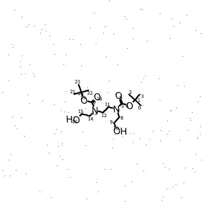 CC(C)(C)OC(=O)N(CCO)CCN(CCO)C(=O)OC(C)(C)C